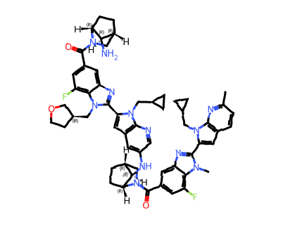 Cc1ccc2cc(-c3nc4cc(C(=O)N5C[C@H]6CC[C@@H]5[C@@H]6Nc5cnc6c(c5)cc(-c5nc7cc(C(=O)N8C[C@H]9CC[C@@H]8[C@@H]9N)cc(F)c7n5C[C@H]5CCOC5)n6CC5CC5)cc(F)c4n3C)n(CC3CC3)c2n1